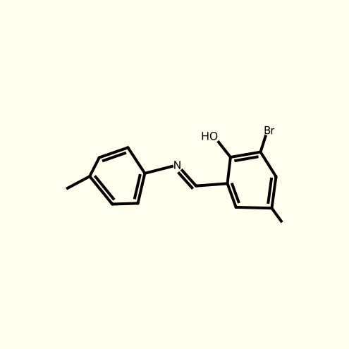 Cc1ccc(/N=C/c2cc(C)cc(Br)c2O)cc1